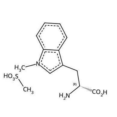 CS(=O)(=O)O.Cn1cc(C[C@@H](N)C(=O)O)c2ccccc21